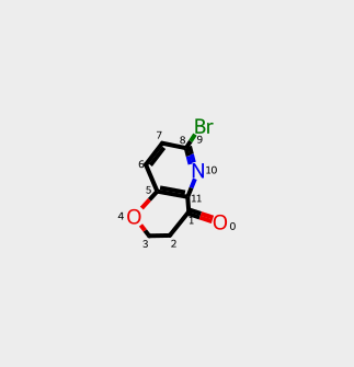 O=C1CCOc2ccc(Br)nc21